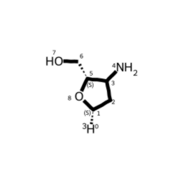 [3H][C@H]1CC(N)[C@@H](CO)O1